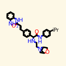 CC(C)c1ccc(NC(=O)C(NCCN2CC3CC2CO3)c2ccc(/C=C/C(=O)Nc3ccccc3N)cc2)cc1